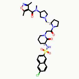 Cc1noc(C)c1C(=O)N(C)C1CCN(C[C@@H]2CCCN2C(=O)CN2CCC[C@H](NS(=O)(=O)c3ccc4cc(Cl)ccc4c3)C2=O)C1